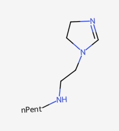 CCCCCNCCN1C=NCC1